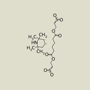 CC1(C)[CH][CH]CC(C)(C)N1.O=C(CCCCC(=O)OCC=S(=O)=O)OCC=S(=O)=O